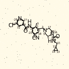 Cc1c(CN2CCN(C(=O)NCC3CC3)[C@@H](C)C2)cc(C#N)cc1NC(=O)c1cncc(Cl)c1